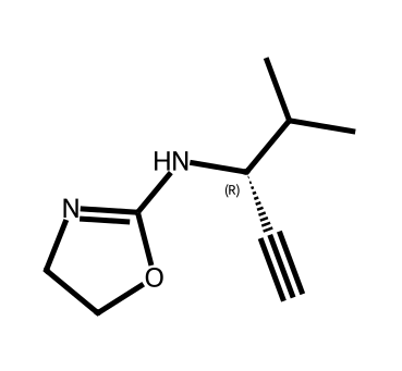 C#C[C@H](NC1=NCCO1)C(C)C